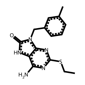 CCSc1nc(N)c2[nH]c(=O)n(Cc3cccc(C)c3)c2n1